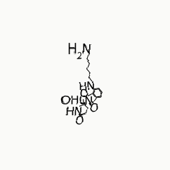 NCCCCCCCNc1cccc2c1C(=O)N(C1(C=O)CCC(=O)NC1)C2=O